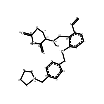 C=Cc1cccc(OCc2ccc(CN3CCCC3)cc2)c1CN(C)C1CCC(=O)NC1=C